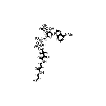 CNc1ncnc2c1ncn2[C@@H]1O[C@H](COP(=O)(O)OP(=O)(O)OCC(C)(C)[C@@H](O)C(=O)NCCC(=O)NCCS)[C@@H](OP(=O)(O)O)[C@H]1O